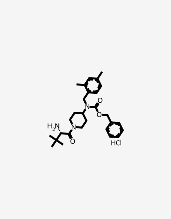 Cc1ccc(CN(C(=O)OCc2ccccc2)C2CCN(C(=O)[C@@H](N)C(C)(C)C)CC2)c(C)c1.Cl